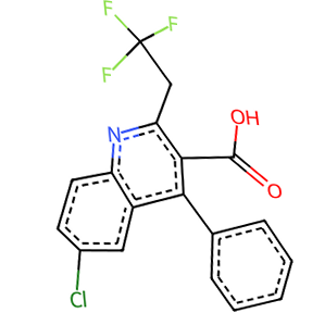 O=C(O)c1c(CC(F)(F)F)nc2ccc(Cl)cc2c1-c1ccccc1